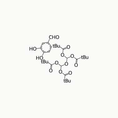 CC(C)(C)C(=O)OC(OC(=O)C(C)(C)C)OC(OC(=O)C(C)(C)C)OC(=O)C(C)(C)C.O=Cc1ccc(O)c(O)c1